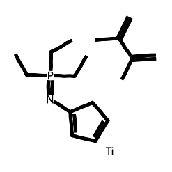 C=C(C)C(=C)C.CCP(CC)(CC)=NC1=CC=CC1.[Ti]